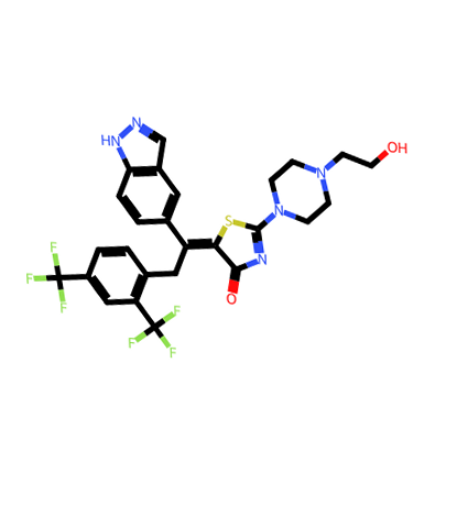 O=C1N=C(N2CCN(CCO)CC2)SC1=C(Cc1ccc(C(F)(F)F)cc1C(F)(F)F)c1ccc2[nH]ncc2c1